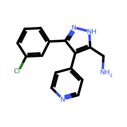 NCc1[nH]nc(-c2cccc(Cl)c2)c1-c1ccncc1